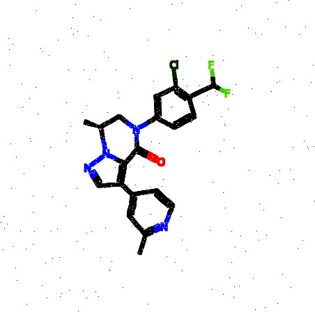 Cc1cc(-c2cnn3c2C(=O)N(c2ccc(C(F)F)c(Cl)c2)C[C@@H]3C)ccn1